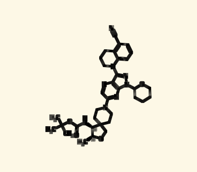 C[C@@H]1OCC2(CCN(c3cnc4c(N5CCCc6c(C#N)cccc65)nn(C5CCCCO5)c4n3)CC2)[C@@H]1NC(=O)OC(C)(C)C